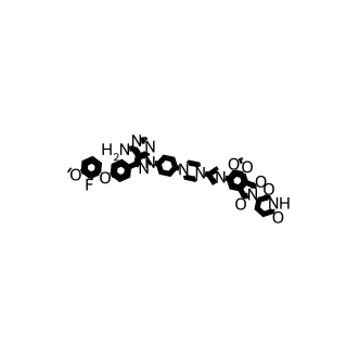 COc1cccc(Oc2ccc(-c3nn(C4CCC(N5CCN(C6CN(c7cc8c(c9c7OCO9)C(=O)N(C7CCC(=O)NC7=O)C8=O)C6)CC5)CC4)c4ncnc(N)c34)cc2)c1F